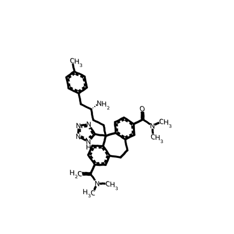 C=C(c1ccc2c(c1)CCc1cc(C(=O)N(C)C)ccc1C2(CC[C@@H](N)Cc1ccc(C)cc1)c1nnn[nH]1)N(C)C